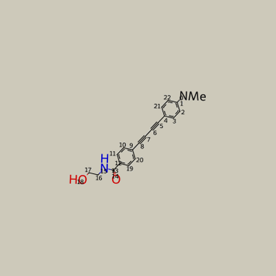 CNc1ccc(C#CC#Cc2ccc(C(=O)NCCO)cc2)cc1